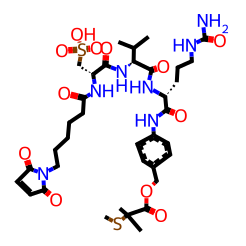 CSC(C)(C)C(=O)OCc1ccc(NC(=O)[C@@H](CCCNC(N)=O)NC(=O)[C@H](NC(=O)[C@@H](CS(=O)(=O)O)NC(=O)CCCCCN2C(=O)C=CC2=O)C(C)C)cc1